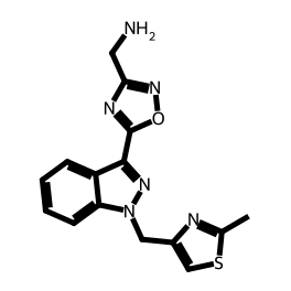 Cc1nc(Cn2nc(-c3nc(CN)no3)c3ccccc32)cs1